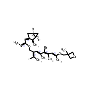 C=C1/C(=C\C(=N/C)OCC(/C=C(C)/C(CC)=C(C)/C=C(\C)OCC2(C)COC2)=C(/C)F)C[C@H]2C[C@@H]12